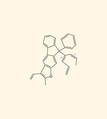 C=C/C=C(\C=C/C)C1(c2ccccc2)c2ccccc2-c2cc3c(C=C)c(C)oc3cc21